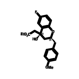 CCOC(=O)C[C@]1(O)C[C@@H](Cc2ccc(OC)cc2)Oc2ccc(F)cc21